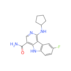 NC(=O)c1cnc(NC2CCCC2)c2c1[nH]c1ccc(F)cc12